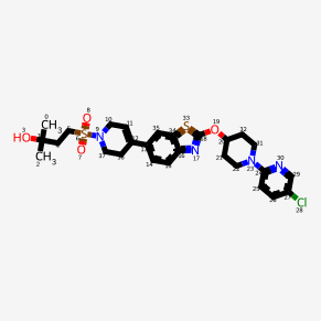 CC(C)(O)CCS(=O)(=O)N1CC=C(c2ccc3nc(OC4CCN(c5ccc(Cl)cn5)CC4)sc3c2)CC1